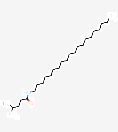 CCCCCCCCCCCCCCCCCCCCNC(=O)CCC(C)C